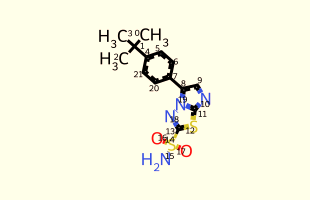 CC(C)(C)c1ccc(-c2cnc3sc(S(N)(=O)=O)nn23)cc1